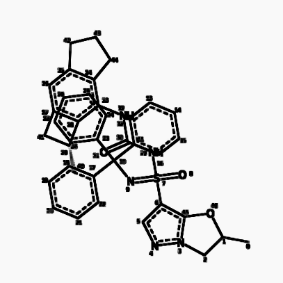 CC1Cn2ncc(S(=O)(=NC(c3ccccc3)(c3ccccc3)c3ccccc3)NC(=O)Nc3c4c(cc5c3[C@H](C)C5)CCC4)c2O1